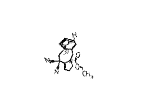 CCOC(=O)[C@]12CCC=C1C(C#N)(C#N)C[C@]13C=C[C@H](C=C1C2)O3